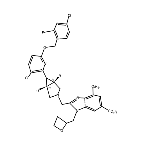 COc1cc(C(=O)O)cc2c1nc(CN1C[C@@H]3C(c4nc(OCc5ccc(Cl)cc5F)ccc4Cl)[C@@H]3C1)n2CC1CCO1